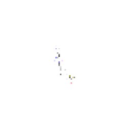 Cn1cc(-c2cc(F)cc(N3CCc4c(sc5c4C(=O)CCC5)C3)c2CO)cc(Nc2ccc(N3CCOCC3)cn2)c1=O